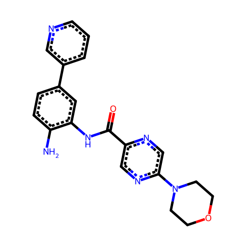 Nc1ccc(-c2cccnc2)cc1NC(=O)c1cnc(N2CCOCC2)cn1